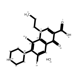 CCCn1cc(C(=O)O)c(=O)c2cc(F)c(N3CCNCC3)c(F)c21.Cl